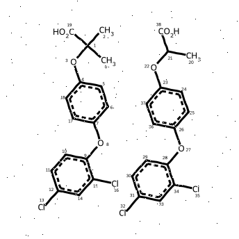 CC(C)(Oc1ccc(Oc2ccc(Cl)cc2Cl)cc1)C(=O)O.CC(Oc1ccc(Oc2ccc(Cl)cc2Cl)cc1)C(=O)O